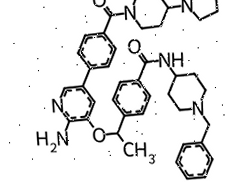 CC(Oc1cc(-c2ccc(C(=O)N3CCC(N4CCCC4)CC3)cc2)cnc1N)c1ccc(C(=O)NC2CCN(Cc3ccccc3)CC2)cc1